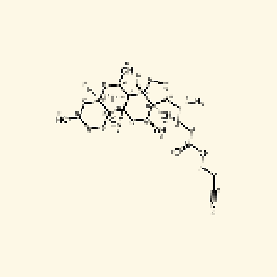 C[C@H](CCC(=O)OCCC#N)[C@H]1CC[C@H]2[C@@H]3[C@H](O)C[C@@H]4C[C@H](O)CC[C@]4(C)[C@H]3C[C@H](O)[C@]12C